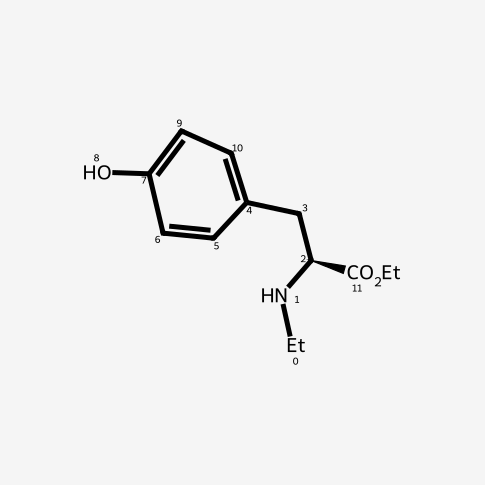 CCN[C@@H](Cc1ccc(O)cc1)C(=O)OCC